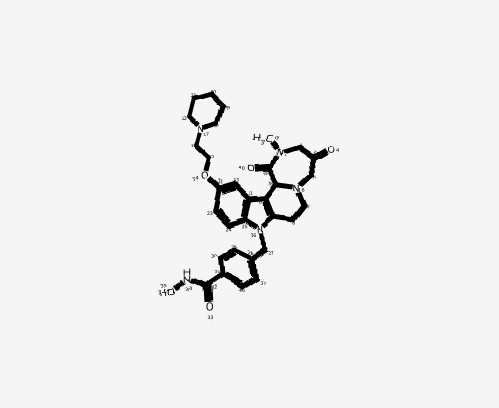 CN1CC(=O)CN2CCc3c(c4cc(OCCN5CCCCC5)ccc4n3Cc3ccc(C(=O)NO)cc3)C2C1=O